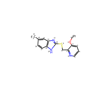 CC(C)Oc1cccnc1CSc1nc2cc(C(F)(F)F)ccc2[nH]1